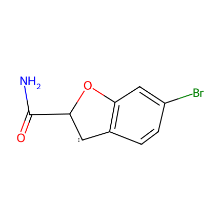 NC(=O)C1[C]c2ccc(Br)cc2O1